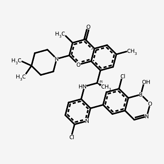 Cc1cc([C@@H](C)Nc2ccc(Cl)nc2-c2cc(Cl)c3c(c2)C=NOB3O)c2oc(N3CCC(C)(C)CC3)c(C)c(=O)c2c1